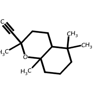 C#CC1(C)CCC2C(C)(C)CCCC2(C)O1